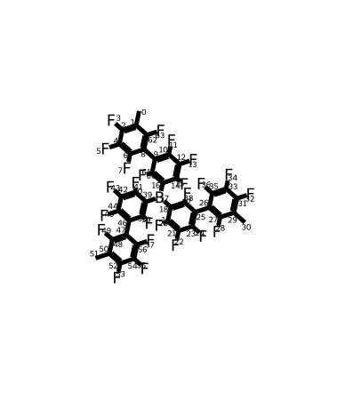 Cc1c(F)c(F)c(F)c(-c2c(F)c(F)c(F)c(B(c3c(F)c(F)c(F)c(-c4c(F)c(C)c(F)c(F)c4F)c3F)c3c(F)c(F)c(F)c(-c4c(F)c(C)c(F)c(F)c4F)c3F)c2F)c1F